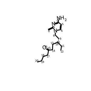 C=C1N=C(N)C=CN1CC[C@H](CC)CCC(=O)CCCC